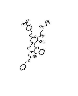 COC(=O)CC[S+]([O-])C=C(C)C1C(NC(=O)C(NC(=O)OCc2ccccc2)c2ccccc2)C(=O)N1CC(=O)OCc1ccc([N+](=O)[O-])cc1